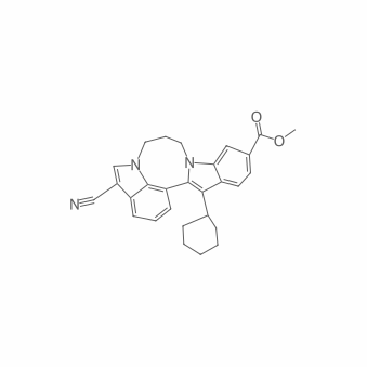 COC(=O)c1ccc2c(C3CCCCC3)c3n(c2c1)CCCn1cc(C#N)c2cccc-3c21